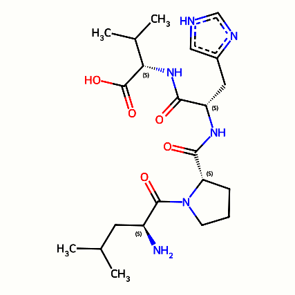 CC(C)C[C@H](N)C(=O)N1CCC[C@H]1C(=O)N[C@@H](Cc1c[nH]cn1)C(=O)N[C@H](C(=O)O)C(C)C